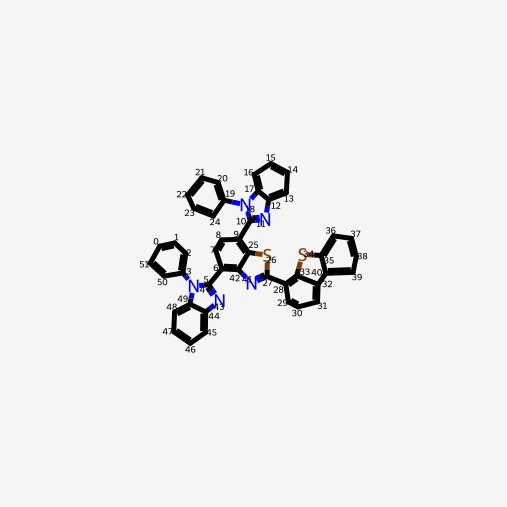 c1ccc(-n2c(-c3ccc(-c4nc5ccccc5n4-c4ccccc4)c4sc(-c5cccc6c5sc5ccccc56)nc34)nc3ccccc32)cc1